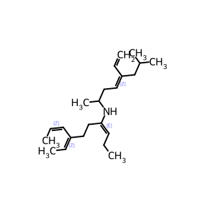 C=C/C(=C\CC(C)N/C(=C/CC)CCC(/C=C\C)=C/C)CC(C)C